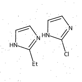 CCc1ncc[nH]1.Clc1ncc[nH]1